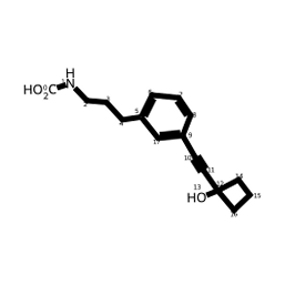 O=C(O)NCCCc1cccc(C#CC2(O)CCC2)c1